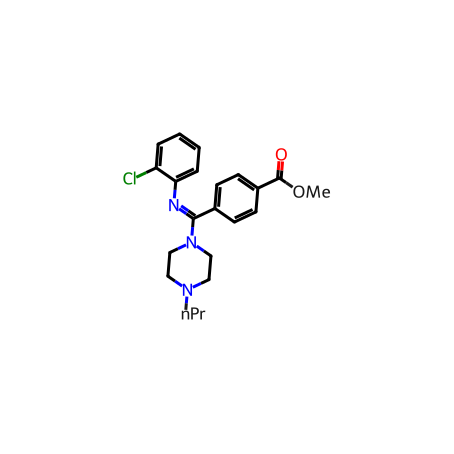 CCCN1CCN(C(=Nc2ccccc2Cl)c2ccc(C(=O)OC)cc2)CC1